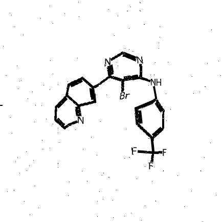 FC(F)(F)c1ccc(Nc2ncnc(-c3ccc4cccnc4c3)c2Br)cc1